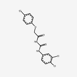 O=C(COc1ccc(Cl)cc1)NC(=S)Nc1ccc(Cl)c(Cl)c1